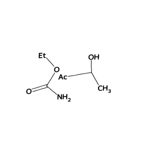 CC(=O)C(C)O.CCOC(N)=O